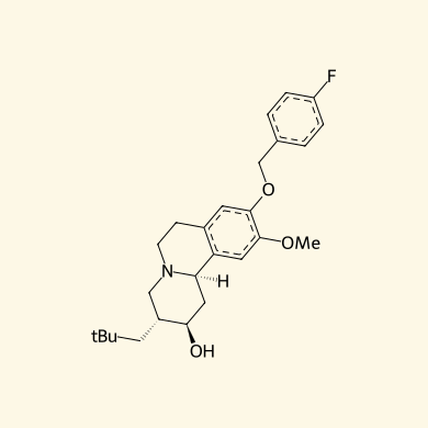 COc1cc2c(cc1OCc1ccc(F)cc1)CCN1C[C@@H](CC(C)(C)C)[C@H](O)C[C@H]21